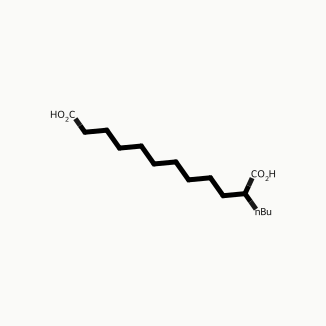 CCCCC(CCCCCCCCCC(=O)O)C(=O)O